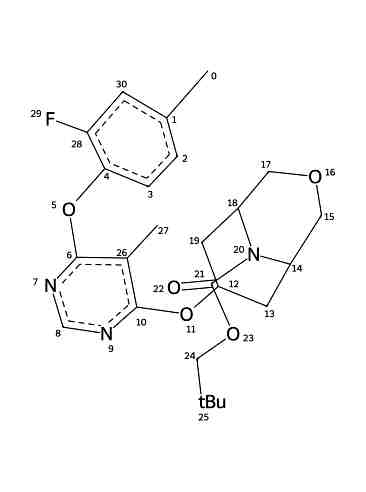 Cc1ccc(Oc2ncnc(OC3CC4COCC(C3)N4C(=O)OCC(C)(C)C)c2C)c(F)c1